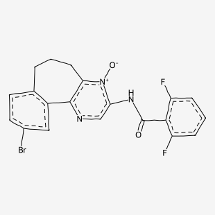 O=C(Nc1cnc2c([n+]1[O-])CCCc1ccc(Br)cc1-2)c1c(F)cccc1F